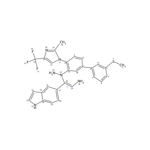 CSc1cccc(-c2ccc(-n3cc(C(F)(F)F)nc3C)c(N(N)/C(=C\N)c3ccc4[nH]ccc4c3)c2)c1